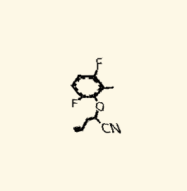 C=CCC(C#N)Oc1c(F)ccc(F)c1C